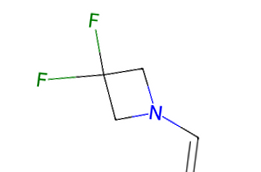 C=CN1CC(F)(F)C1